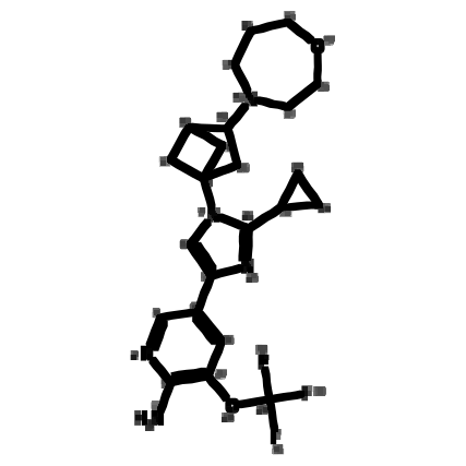 Nc1ncc(-c2cn(C34CC(C3)C(N3CCCOCC3)C4)c(C3CC3)n2)cc1OC(F)(F)F